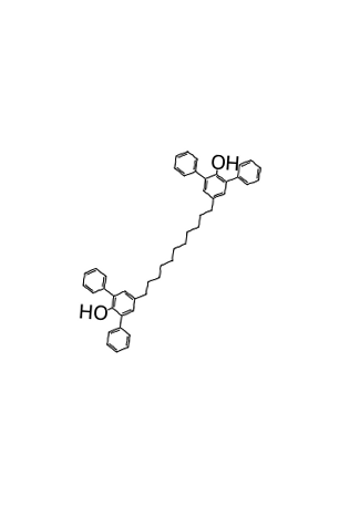 Oc1c(-c2ccccc2)cc(CCCCCCCCCCCc2cc(-c3ccccc3)c(O)c(-c3ccccc3)c2)cc1-c1ccccc1